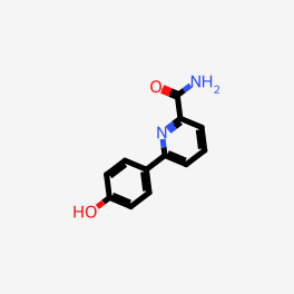 NC(=O)c1cccc(-c2ccc(O)cc2)n1